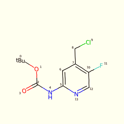 CC(C)(C)OC(=O)Nc1cc(CCl)c(F)cn1